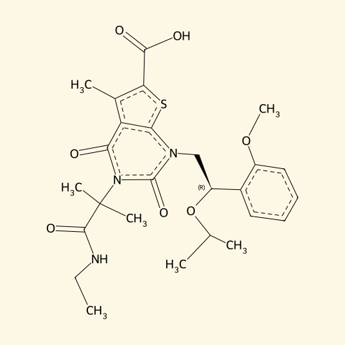 CCNC(=O)C(C)(C)n1c(=O)c2c(C)c(C(=O)O)sc2n(C[C@H](OC(C)C)c2ccccc2OC)c1=O